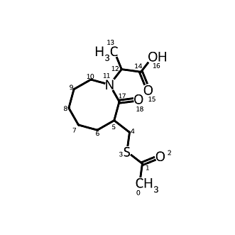 CC(=O)SCC1CCCCCN(C(C)C(=O)O)C1=O